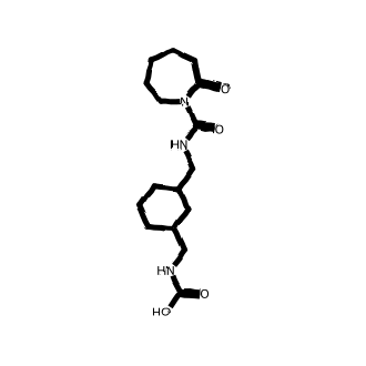 O=C(O)NCC1CCCC(CNC(=O)N2CCCCCC2=O)C1